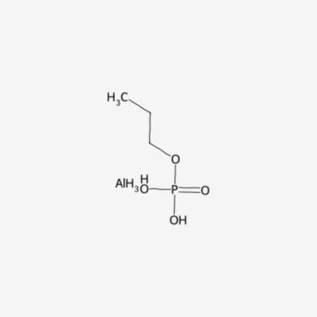 CCCOP(=O)(O)O.[AlH3]